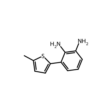 Cc1ccc(-c2cccc(N)c2N)s1